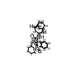 O=C(NCC1CCCCN1S(=O)(=O)c1ccccc1C(F)(F)F)N[C@H]1C[C@@H]2CC3CC(C2)[C@H](C3)C1